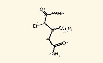 CC[C@H](C(=O)NC)C(CC(N)=O)C(=O)O